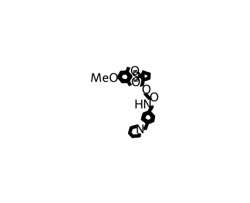 COc1cc(C)c(S(=O)(=O)N2CCCC2COCC(=O)NCc2ccc(CN3CCCCC3)cc2)c(C)c1